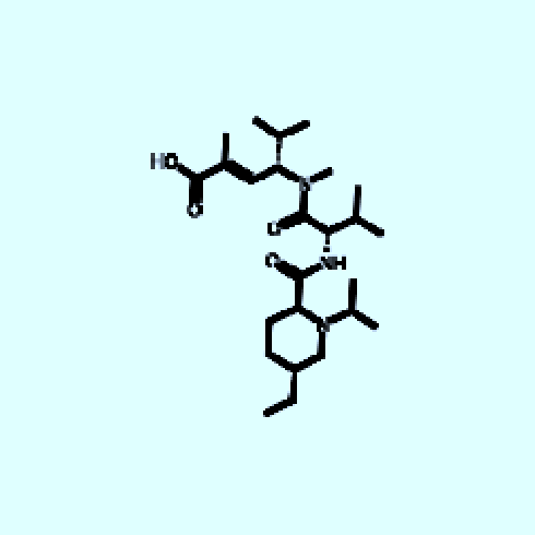 CC[C@H]1CCC(C(=O)N[C@H](C(=O)N(C)[C@H](/C=C(\C)C(=O)O)C(C)C)C(C)C)N(C(C)C)C1